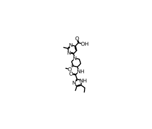 CCc1[nH]c(C(=O)NC2CCN(c3cc(C(=O)O)nc(C)n3)C[C@@H]2OC)nc1C